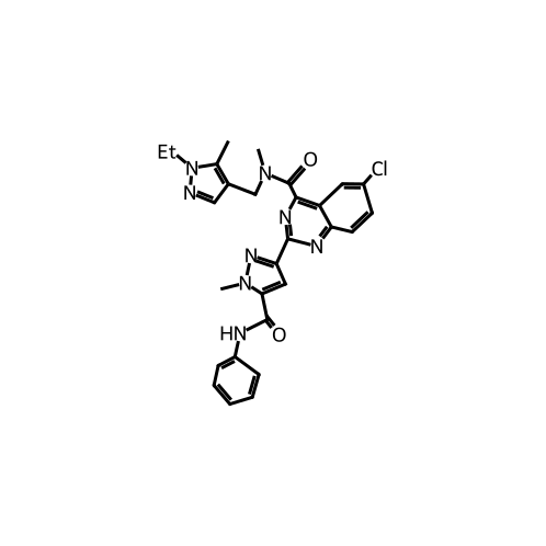 CCn1ncc(CN(C)C(=O)c2nc(-c3cc(C(=O)Nc4ccccc4)n(C)n3)nc3ccc(Cl)cc23)c1C